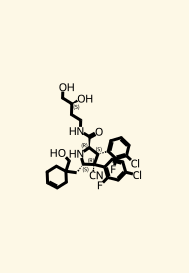 N#C[C@]1(c2ccc(Cl)cc2F)[C@H](CC2(CO)CC=CCC2)N[C@@H](C(=O)NCC[C@H](O)CO)[C@@H]1c1cccc(Cl)c1F